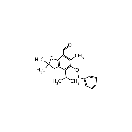 Cc1c(C=O)c2c(c(C(C)C)c1OCc1ccccc1)CC(C)(C)O2